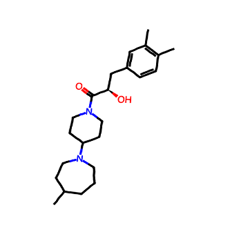 Cc1ccc(C[C@@H](O)C(=O)N2CCC(N3CCCC(C)CC3)CC2)cc1C